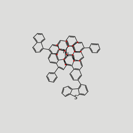 c1ccc(-c2ccc(-c3ccccc3N(c3ccccc3-c3ccccc3N(c3ccc(-c4cccc5ccccc45)cc3)c3ccc4c(ccc5cc(-c6cccc7sc8ccccc8c67)ccc54)c3)c3ccc(-c4ccccc4)c4ccccc34)cc2)cc1